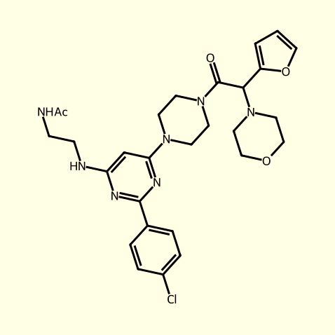 CC(=O)NCCNc1cc(N2CCN(C(=O)C(c3ccco3)N3CCOCC3)CC2)nc(-c2ccc(Cl)cc2)n1